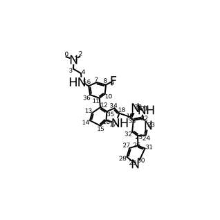 CN(C)CCNc1cc(F)cc(-c2cccc3[nH]c(-c4n[nH]c5ncc(-c6ccncc6)cc45)cc23)c1